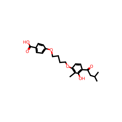 Cc1c(OCCCCOc2ccc(C(=O)O)cc2)ccc(C(=O)CC(C)C)c1O